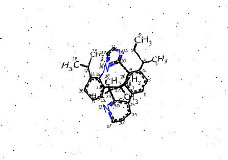 CCC(C)c1ccc2c(c1-c1nccn1-c1c(C(C)C)cccc1C(C)C)C(C)(C)c1ncccc1-2